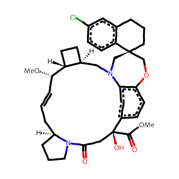 COC(=O)[C@]1(O)CC(=O)N2CCC[C@H]2C/C=C/[C@H](OC)[C@@H]2CC[C@H]2CN2C[C@@]3(CCCc4cc(Cl)ccc43)COc3ccc1cc32